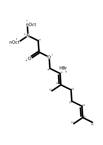 Br.CCCCCCCCN(CCCCCCCC)CC(=O)OC/C=C(\C)CCC=C(C)C